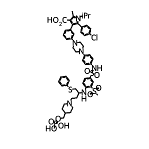 Cc1c(C(=O)O)c(-c2cccc(N3CCN(c4ccc(NS(=O)(=O)c5ccc(NC(CCN6CCC(COP(=O)(O)O)CC6)CSc6ccccc6)c(S(C)(=O)=O)c5)cc4)CC3)c2)c(-c2ccc(Cl)cc2)n1C(C)C